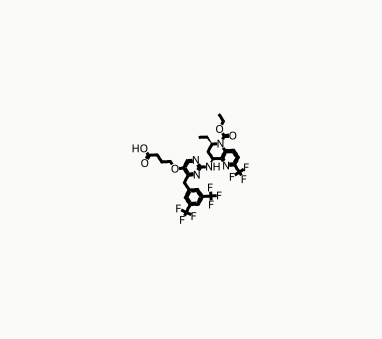 CCOC(=O)N1c2ccc(C(F)(F)F)nc2[C@@H](Nc2ncc(OCCCC(=O)O)c(Cc3cc(C(F)(F)F)cc(C(F)(F)F)c3)n2)C[C@H]1CC